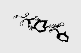 CCCS(=O)(=O)c1nc2ccc(NS(=O)(=O)c3ccccc3)cc2s1